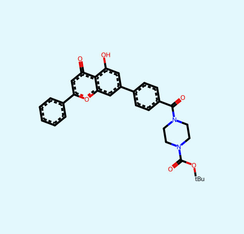 CC(C)(C)OC(=O)N1CCN(C(=O)c2ccc(-c3cc(O)c4c(=O)cc(-c5ccccc5)oc4c3)cc2)CC1